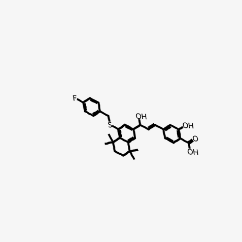 CC1(C)CCC(C)(C)c2c(SCc3ccc(F)cc3)cc(C(O)C=Cc3ccc(C(=O)O)c(O)c3)cc21